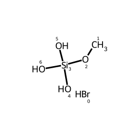 Br.CO[Si](O)(O)O